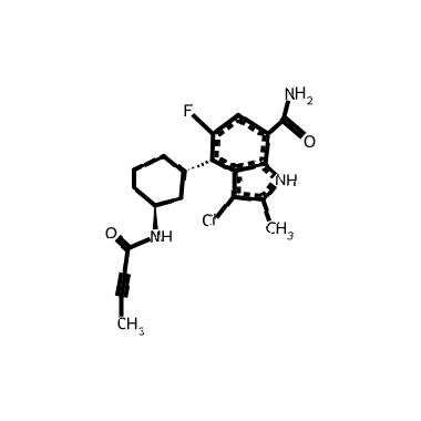 CC#CC(=O)N[C@H]1CCC[C@H](c2c(F)cc(C(N)=O)c3[nH]c(C)c(Cl)c23)C1